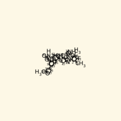 Cc1cc(-n2nc3c(c2-n2cc[nH]c2=O)[C@H](C)N(C(=O)c2cc4cc([C@H]5CCO[C@@H](C)C5)ccc4n2[C@@]2(c4noc(=O)[nH]4)C[C@@H]2C)CC3)cc(C)c1F